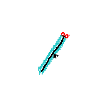 O=C([O-])C(F)(F)C(F)(F)C(F)(F)C(F)(F)C(F)(F)C(F)(F)C(F)(F)C(F)(F)C(F)(F)C(F)(F)C(F)(F)C(F)(F)C(F)(F)C(F)(F)C(F)(F)C(F)(F)C(F)(F)C(F)(F)C(F)(F)F.[K+]